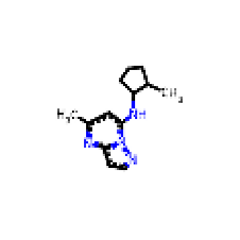 Cc1cc(NC2CCCC2C)n2nccc2n1